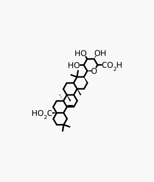 CC1(C)CC[C@]2(C(=O)O)CC[C@]3(C)C(=CCC4[C@@]5(C)CC[C@H]([C@@H]6OC(C(=O)O)[C@@H](O)C(O)C6O)C(C)(C)C5CC[C@]43C)C2C1